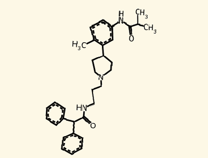 Cc1ccc(NC(=O)C(C)C)cc1C1CCN(CCCNC(=O)C(c2ccccc2)c2ccccc2)CC1